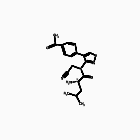 CC(=O)c1ccc(-c2csnc2N(CC#N)C(=O)[C@@H](N)CC(C)C)cc1